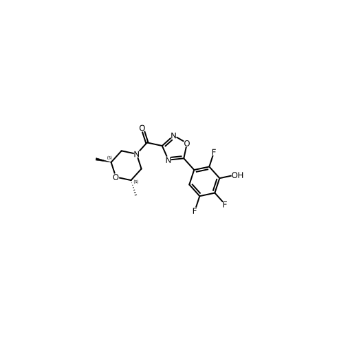 C[C@H]1CN(C(=O)c2noc(-c3cc(F)c(F)c(O)c3F)n2)C[C@H](C)O1